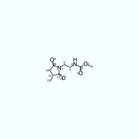 COC(=O)NCCN1C(=O)CC(C)C1=O